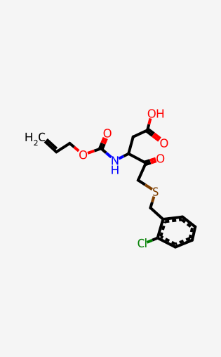 C=CCOC(=O)NC(CC(=O)O)C(=O)CSCc1ccccc1Cl